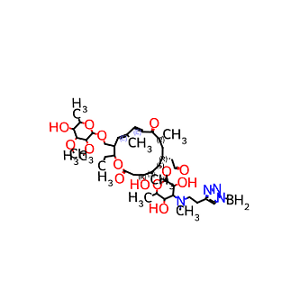 Bn1cc(CCN(C)C2C(O)C(C)O[C@@H](O[C@H]3[C@@H](CC=O)C[C@@H](C)C(=O)/C=C/C(C)=C/C(COC4OC(C)C(O)C(OC)C4OC)C(CC)OC(=O)C[C@@H](O)[C@@H]3C)C2O)nn1